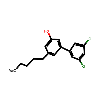 COCCCCc1cc(O)cc(-c2cc(Cl)cc(Cl)c2)c1